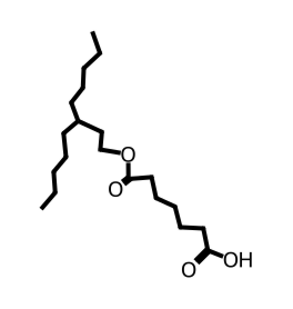 CCCCCC(CCCCC)CCOC(=O)CCCCCC(=O)O